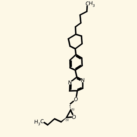 CCCCCC1CCC(c2ccc(-c3ncc(OC[C@@H]4O[C@H]4CCCC)cn3)cc2)CC1